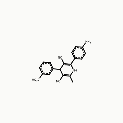 CC1=C(C#N)C(c2cccc(C(=O)O)c2)C(C#N)=C(c2ccc(N)cc2)N1